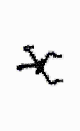 CCCCC/C=C\C/C=C\CCCCCCCCOC[C@@H](OCCCCCCCC/C=C\C/C=C\CCCCC)[C@@H](OC(=O)CBr)[C@H](OC(=O)CBr)[C@@H](COCCCCCCCC/C=C\C/C=C\CCCCC)OCCCCCCCC/C=C\C/C=C\CCCCC